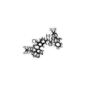 Cc1c(-c2cc3cc(NC(=O)OC4CCCCC4N(C)C(=O)OC(C)(C)C)ncc3c(Cl)c2F)cnc2c1N(C(=O)OC(C)(C)C)CCO2